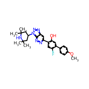 COc1ccc(-c2cc(O)c(-c3cc4nnn(C5CC(C)(C)NC(C)(C)C5)c4nn3)cc2F)cc1